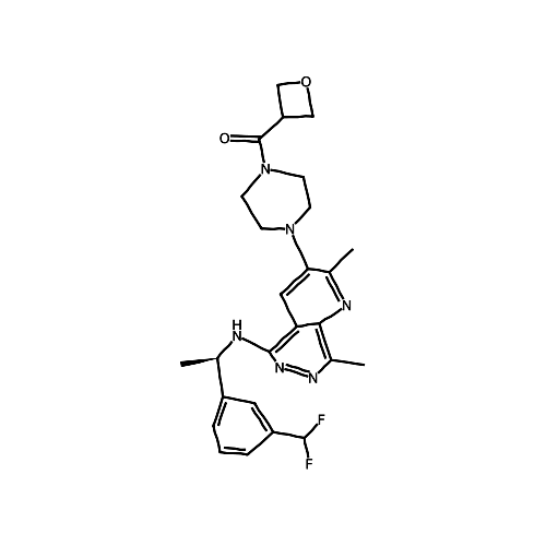 Cc1nc2c(C)nnc(N[C@H](C)c3cccc(C(F)F)c3)c2cc1N1CCN(C(=O)C2COC2)CC1